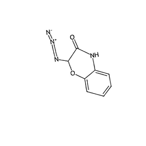 [N-]=[N+]=NC1Oc2ccccc2NC1=O